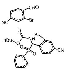 CC(C)(C)OC(=O)NC(c1ccc(C#N)cc1Br)S(=O)(=O)c1ccccc1.N#Cc1ccc(C=O)c(Br)c1